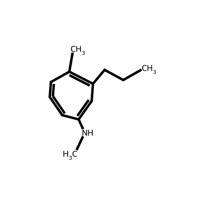 CCCC1=C(C)C=C=CC(NC)=C1